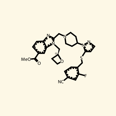 COC(=O)c1ccc2nc(CN3CCC(n4nccc4SCc4ccc(C#N)cc4F)CC3)n(C[C@@H]3CCO3)c2c1